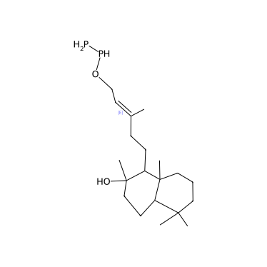 C/C(=C\COPP)CCC1C(C)(O)CCC2C(C)(C)CCCC21C